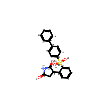 O=C1CC(c2ccccc2S(=O)(=O)c2ccc(-c3ccccc3)cc2)C(=O)N1